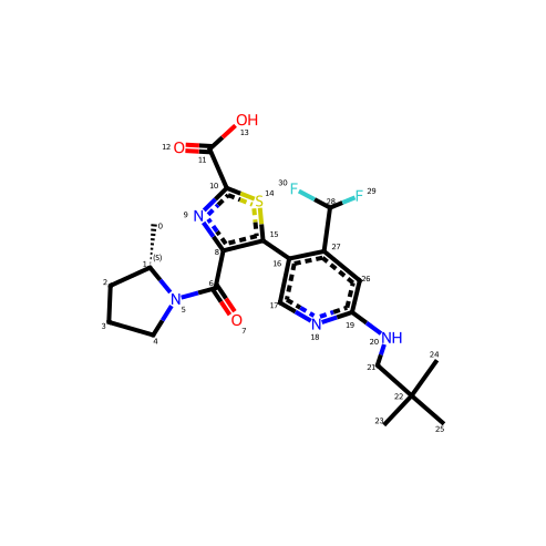 C[C@H]1CCCN1C(=O)c1nc(C(=O)O)sc1-c1cnc(NCC(C)(C)C)cc1C(F)F